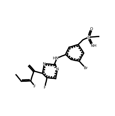 C=C(/C(F)=C\C)c1nc(Nc2cc(Br)cc(CS(C)(=N)=O)c2)ncc1F